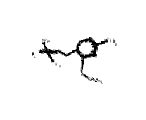 CCCC(C)(C)CCc1ccc(C)cc1SOC